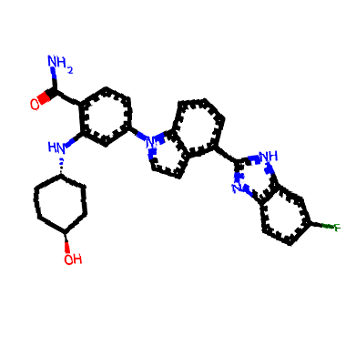 NC(=O)c1ccc(-n2ccc3c(-c4nc5ccc(F)cc5[nH]4)cccc32)cc1N[C@H]1CC[C@H](O)CC1